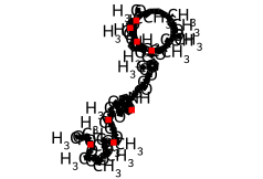 COCC(C)OCC(C)OCC(C)OCC(C)OCC(C)OCC(C)OCC(C)OCCOCC(C)OCC(C)N1C(=O)c2cccc3c(NCSCC(=O)OCCO[C@@H]4CC[C@@H](C[C@H](C)[C@@H]5CC(=O)[C@H](C)/C=C(\C)[C@@H](O)[C@@H](OC)C(=O)C(C)C[C@H](C)/C=C/C=C/C=C(\C)[C@@H](OC)C[C@@H]6CC[C@@H](C)[C@@](O)(O6)C(=O)C(=O)N6CCCCC6C(=O)O5)C[C@H]4OC)ccc(c23)C1=O